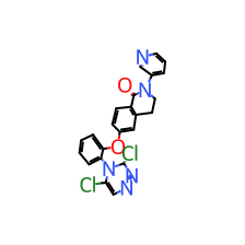 O=C1c2ccc(Oc3ccccc3N3C(Cl)=CN=NC3Cl)cc2CCN1c1cccnc1